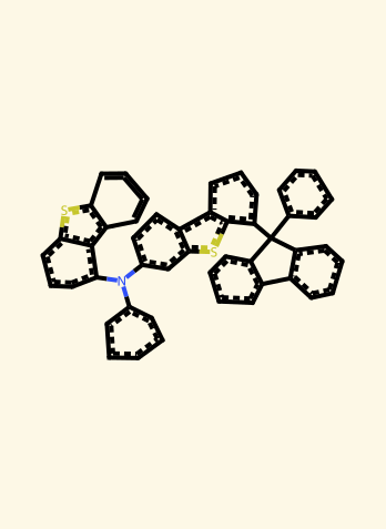 C1=C=Cc2c(sc3cccc(N(c4ccccc4)c4ccc5c(c4)sc4c(C6(c7ccccc7)c7ccccc7-c7ccccc76)cccc45)c23)C=1